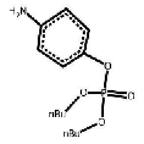 CCCCOP(=O)(OCCCC)Oc1ccc(N)cc1